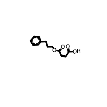 O=C(O)/C=C\C(=O)OCCCc1ccccc1